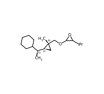 CC(C)C1OC1OC[C@]1(C)C[C@H]1[C@@H](C)C1CCCCC1